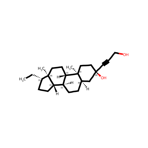 CC[C@H]1CC[C@H]2[C@@H]3CC[C@@H]4C[C@@](O)(C#CCO)CC[C@]4(C)[C@H]3CC[C@]12C